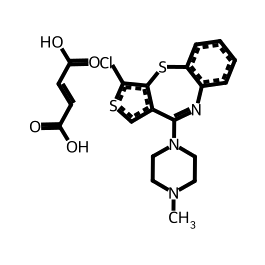 CN1CCN(C2=Nc3ccccc3Sc3c2csc3Cl)CC1.O=C(O)C=CC(=O)O